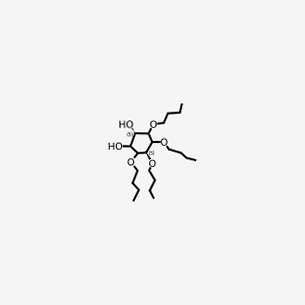 CCCCOC1C(OCCCC)[C@@H](OCCCC)C(OCCCC)C(O)[C@@H]1O